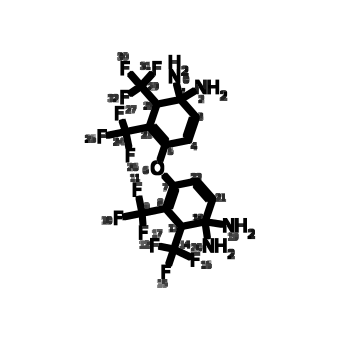 NC1(N)C=CC(OC2=C(C(F)(F)F)C(C(F)(F)F)C(N)(N)C=C2)=C(C(F)(F)F)C1C(F)(F)F